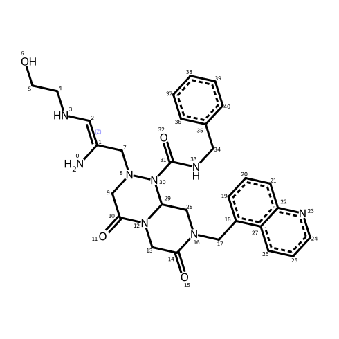 N/C(=C\NCCO)CN1CC(=O)N2CC(=O)N(Cc3cccc4ncccc34)CC2N1C(=O)NCc1ccccc1